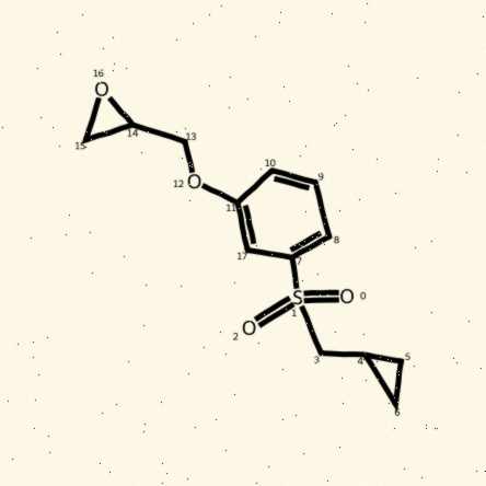 O=S(=O)(CC1CC1)c1cccc(OCC2CO2)c1